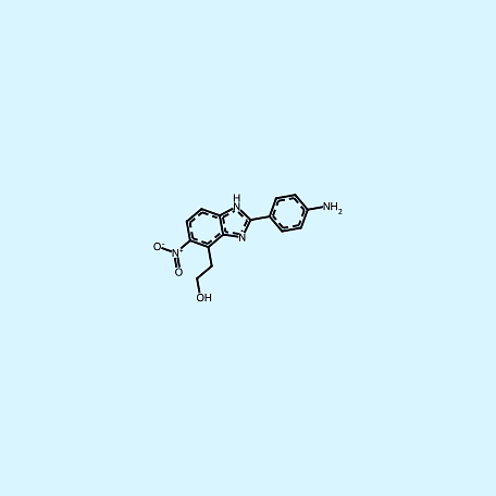 Nc1ccc(-c2nc3c(CCO)c([N+](=O)[O-])ccc3[nH]2)cc1